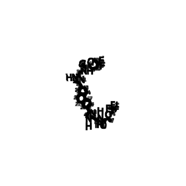 CCC(F)(F)COC(C)C(=O)NC(c1nc(-c2ccc3c(c2)CCc2cc(-c4c[nH]c(CNC(=O)[C@H]5CCC(F)(F)CO5)n4)ccc2-3)c[nH]1)C(C)C